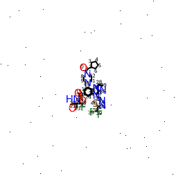 O=C(C1CCCC1)N1CCN(c2cc(S(=O)(=O)NC3(CF)COC3)cc3c2n2ccnc2n3-c2nnc(C(F)F)s2)CC1